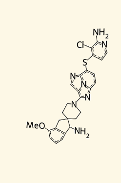 COc1cccc2c1CC1(CCN(c3nc4ccc(Sc5ccnc(N)c5Cl)c5ncc3n45)CC1)C2N